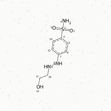 NS(=O)(=O)c1ccc(NNCCO)cc1